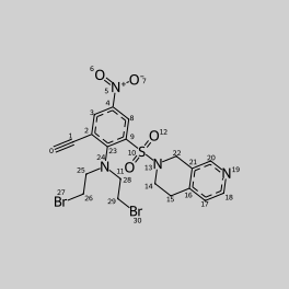 C#Cc1cc([N+](=O)[O-])cc(S(=O)(=O)N2CCc3ccncc3C2)c1N(CCBr)CCBr